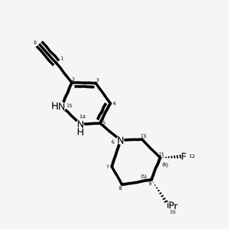 C#CC1=CC=C(N2CC[C@@H](C(C)C)[C@@H](F)C2)NN1